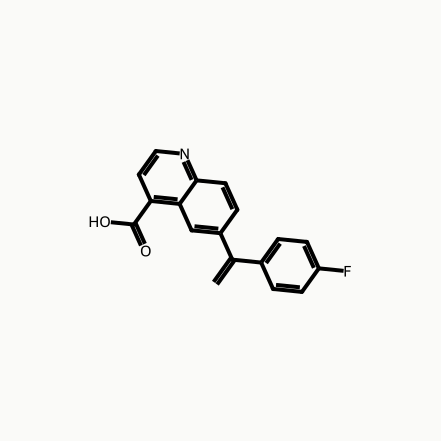 C=C(c1ccc(F)cc1)c1ccc2nccc(C(=O)O)c2c1